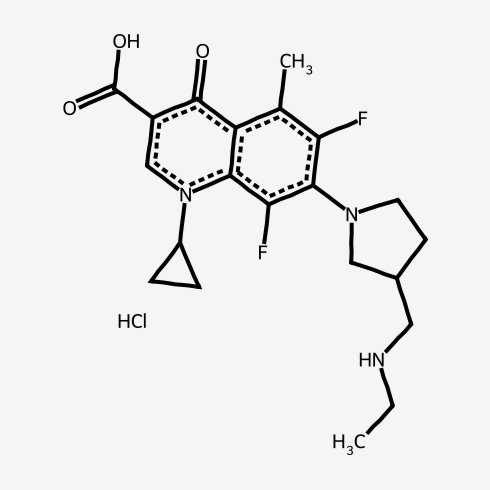 CCNCC1CCN(c2c(F)c(C)c3c(=O)c(C(=O)O)cn(C4CC4)c3c2F)C1.Cl